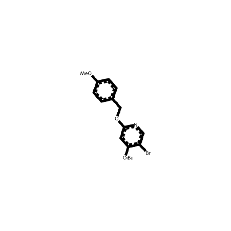 COc1ccc(COc2cc(OCC(C)C)c(Br)cn2)cc1